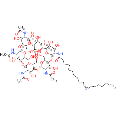 CCCCCC/C=C\CCCCCCCCCC(=O)NC1[C@H](O[C@@H]2C(CO)O[C@@H](O[C@@H]3C(CO)O[C@@H](O[C@@H]4C(CO)O[C@@H](O[C@@H]5C(CO[C@@H]6OC(C)[C@@H](O)C(O)[C@H]6OC)O[C@@H](O)C(NC(C)=O)[C@H]5O)C(NC(C)=O)[C@H]4O)C(NC(C)=O)[C@H]3O)C(NC(C)=O)[C@H]2O)OC(CO)[C@@H](O)[C@@H]1O